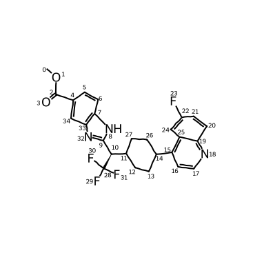 COC(=O)c1ccc2[nH]c([C@@H](C3CCC(c4ccnc5ccc(F)cc45)CC3)C(F)(F)F)nc2c1